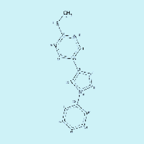 CSc1ncc(-c2ccn(-c3ccccc3)n2)cn1